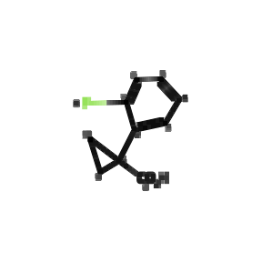 O=C(O)C1(c2ccccc2F)CC1